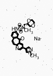 CN(C[C@@H]1COCCO1)S(=O)(=O)Nc1ccc2ccc3ncc(-c4cnn(C)c4)cc3c(=O)c2c1.[Na]